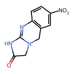 O=C1CN2Cc3cc([N+](=O)[O-])ccc3N=C2N1